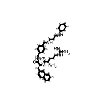 N=C(N)NCCC[C@H](N)C(=O)N[C@@H](Cc1ccc2ccccc2c1)C(=O)NCc1ccc(CNCCCNC2CCCCC2)cc1